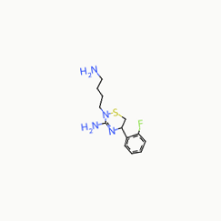 NCCCCN1SCC(c2ccccc2F)N=C1N